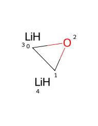 C1CO1.[LiH].[LiH]